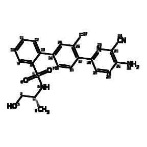 C[C@H](CO)NS(=O)(=O)c1ccccc1-c1ccc(-c2cnc(N)c(C#N)n2)c(F)c1